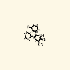 N#Cc1cc(-c2ccncn2)c(-c2cccc(F)c2)[nH]c1=O